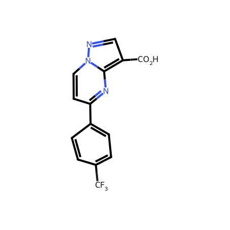 O=C(O)c1cnn2ccc(-c3ccc(C(F)(F)F)cc3)nc12